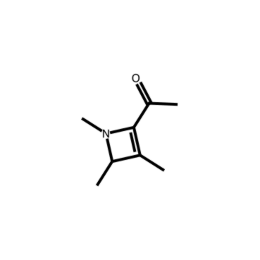 CC(=O)C1=C(C)C(C)N1C